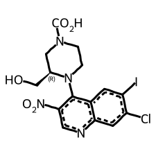 O=C(O)N1CCN(c2c([N+](=O)[O-])cnc3cc(Cl)c(I)cc23)[C@@H](CO)C1